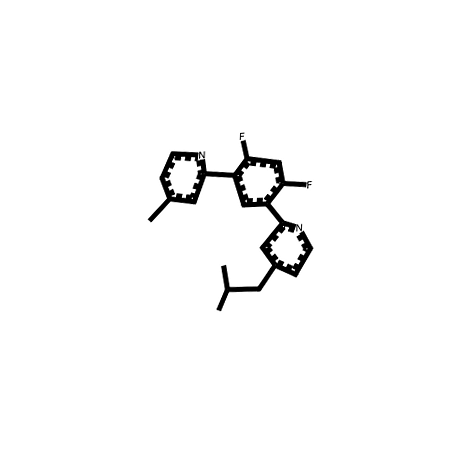 Cc1ccnc(-c2cc(-c3cc(CC(C)C)ccn3)c(F)cc2F)c1